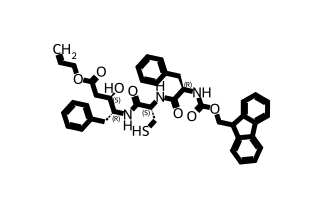 C=CCOC(=O)C[C@H](O)[C@@H](Cc1ccccc1)NC(=O)[C@@H](CS)NC(=O)[C@@H](Cc1ccccc1)NC(=O)OCC1c2ccccc2-c2ccccc21